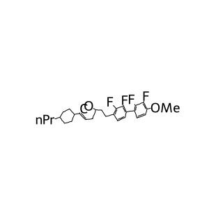 CCCC1CCC(C2=CCC(CCc3ccc(-c4ccc(OC)c(F)c4F)c(F)c3F)OC2)CC1